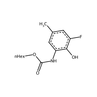 CCCCCCOC(=O)Nc1cc(C)cc(F)c1O